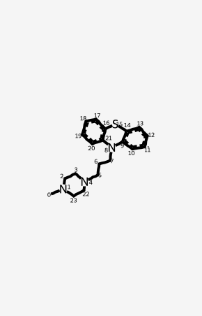 CN1CCN(CCCN2c3c[c]ccc3Sc3ccccc32)CC1